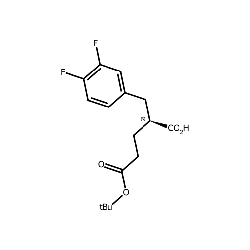 CC(C)(C)OC(=O)CC[C@@H](Cc1ccc(F)c(F)c1)C(=O)O